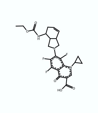 CCOC(=O)NC1CC=CC2CN(c3c(F)c(F)c4c(=O)c(C(=O)O)cn(C5CC5)c4c3F)CC21